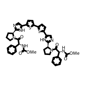 COC(=O)N[C@@H](C(=O)N1CCC[C@H]1c1ncc(-c2ccc(-c3ccc(-c4cnc([C@@H]5CCCN5C(=O)[C@H](NC(=O)OC)c5ccccc5)[nH]4)s3)s2)[nH]1)c1ccccc1